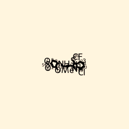 COc1cc(S(C)(=O)=O)ccc1NCC#Cc1nn2c(Cl)cccc2c1SC(F)(F)F